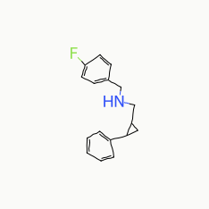 Fc1ccc(CNCC2CC2c2ccccc2)cc1